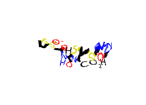 O=C(C[S+]([O-])c1cccs1)NC1C(=O)N2C(C(=O)O)=C(CSc3nnco3)CS[C@@H]12